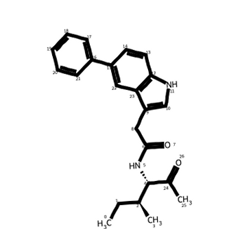 CC[C@H](C)[C@H](NC(=O)Cc1c[nH]c2ccc(-c3ccccc3)cc12)C(C)=O